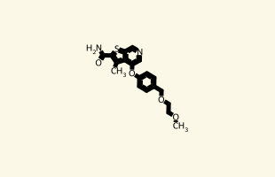 COCCOCc1ccc(Oc2cncc3sc(C(N)=O)c(C)c23)cc1